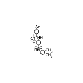 CC(=O)c1ccc(C2Nc3ccc(S(=O)(=O)Nc4ccc(C)c(C)c4)cc3[C@H]3OCC[C@@H]23)cc1